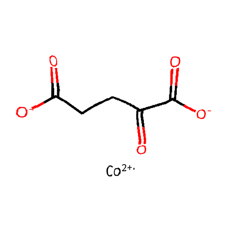 O=C([O-])CCC(=O)C(=O)[O-].[Co+2]